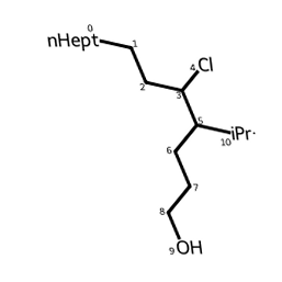 CCCCCCCCCC(Cl)C(CCCO)[C](C)C